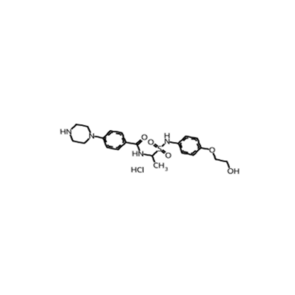 CC(NC(=O)c1ccc(N2CCNCC2)cc1)S(=O)(=O)Nc1ccc(OCCO)cc1.Cl